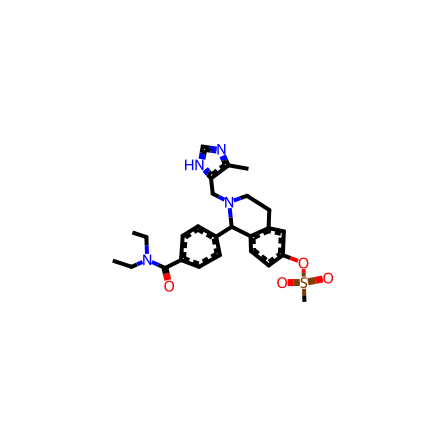 CCN(CC)C(=O)c1ccc(C2c3ccc(OS(C)(=O)=O)cc3CCN2Cc2[nH]cnc2C)cc1